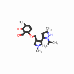 CC1C=CC(OCC2=C(C3=C[C@@H](C)NN3C(C)C)CN(C)C2)=C(C=O)C1O